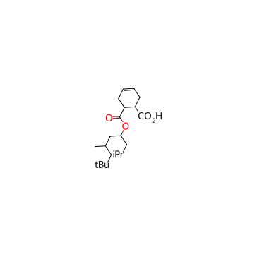 CC(C)CC(CC(C)CC(C)(C)C)OC(=O)C1CC=CCC1C(=O)O